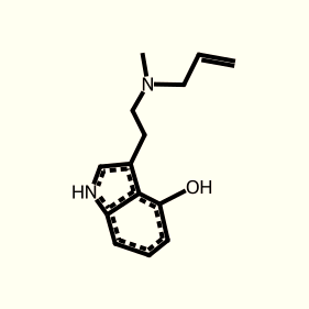 C=CCN(C)CCc1c[nH]c2cccc(O)c12